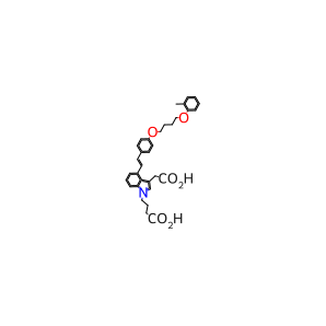 Cc1ccccc1OCCCCOc1ccc(C=Cc2cccc3c2c(CC(=O)O)cn3CCCC(=O)O)cc1